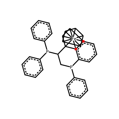 c1ccc(P(CC(P(c2ccccc2)c2ccccc2)[C]23[CH]4[CH]5[CH]6[CH]2[Fe]56432789[CH]3[CH]2[CH]7[CH]8[CH]39)c2ccccc2)cc1